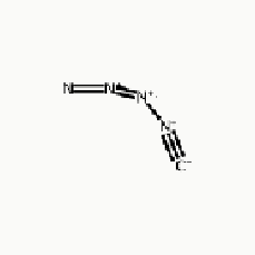 [C-]#[N+][N+]=[N+]=[N-]